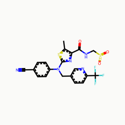 Cc1sc(N(Cc2ccc(C(F)(F)F)nc2)c2ccc(C#N)cc2)nc1C(=O)NC[SH](=O)=O